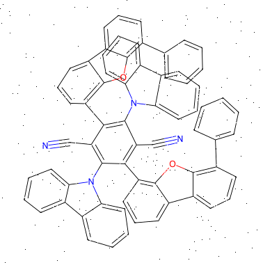 N#Cc1c(-c2cccc3c2oc2c(-c4ccccc4)cccc23)c(-n2c3ccccc3c3ccccc32)c(C#N)c(-c2cccc3c2oc2c(-c4ccccc4)cccc23)c1-n1c2ccccc2c2ccccc21